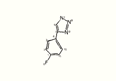 Fc1ccc(C2=C[N]N=N2)cc1